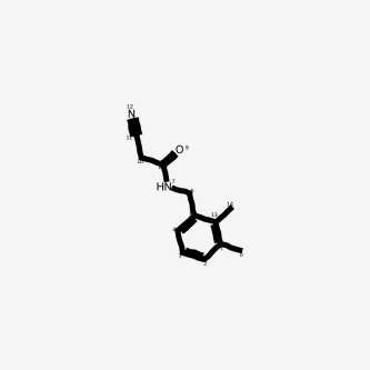 Cc1cccc(CNC(=O)CC#N)c1C